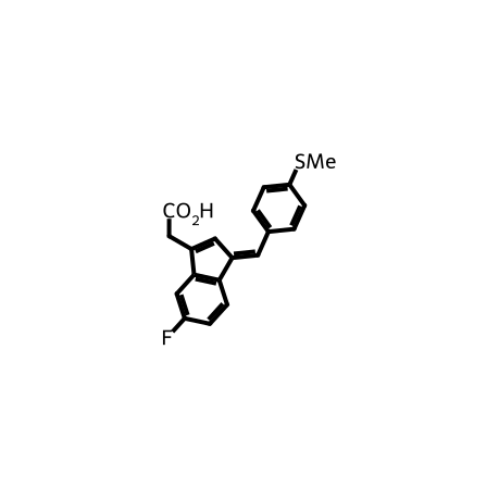 CSc1ccc(C=C2C=C(CC(=O)O)c3cc(F)ccc32)cc1